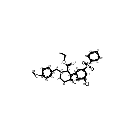 CCOC(=O)C1c2c(oc3c(Cl)cc(S(=O)(=O)c4ccccc4)cc23)CCN1Cc1ccc(OC)cc1